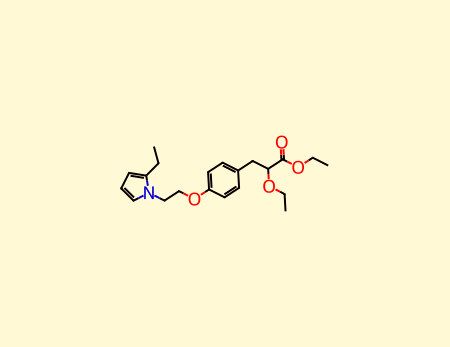 CCOC(=O)C(Cc1ccc(OCCn2cccc2CC)cc1)OCC